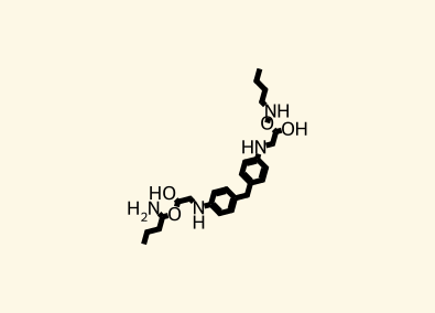 CCCCNOC(O)CNc1ccc(Cc2ccc(NCC(O)OC(N)CCC)cc2)cc1